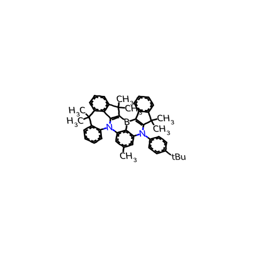 Cc1cc2c3c(c1)N1C4=C(B3C3=C(N2c2ccc(C(C)(C)C)cc2)C(C)(C)c2ccccc23)C(C)(C)c2cccc(c24)C(C)(C)c2ccccc21